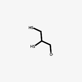 [O]CC(S)CS